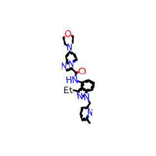 CCc1nn(Cc2cccc(C)n2)c2cccc(NC(=O)c3cnc4cc(N5CCOCC5)ccn34)c12